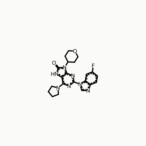 O=c1[nH]c2c(N3CCCC3)nc(-n3cnc4ccc(F)cc43)nc2n1C1CCOCC1